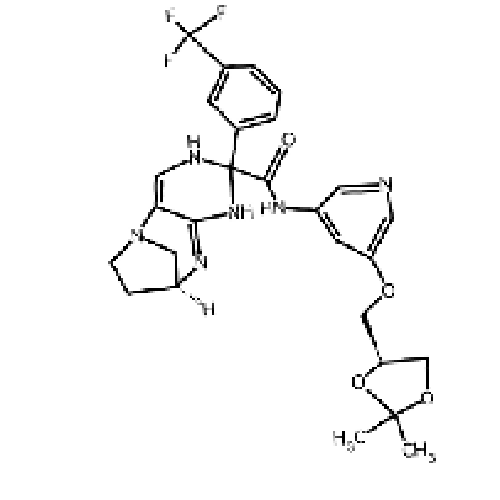 CC1(C)OC[C@H](COc2cncc(NC(=O)C3(c4cccc(C(F)(F)F)c4)NC=C4C(=N[C@H]5CCN4C5)N3)c2)O1